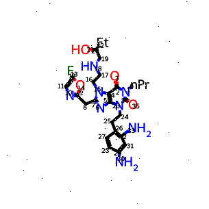 CCCn1c(=O)c2c(nc(Cc3ncc(F)o3)n2CCNCC(O)CC)n(CCc2ccc(N)cc2N)c1=O